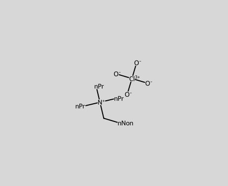 CCCCCCCCCC[N+](CCC)(CCC)CCC.[O-][Cl+3]([O-])([O-])[O-]